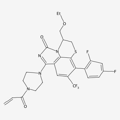 C=CC(=O)N1CCN(c2nc(=O)n3c4c(c(-c5ccc(F)cc5F)c(C(F)(F)F)cc24)SCC3COCC)CC1